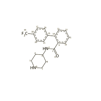 O=C(NC1CCNCC1)c1ccccc1-c1ccc(C(F)(F)F)cc1